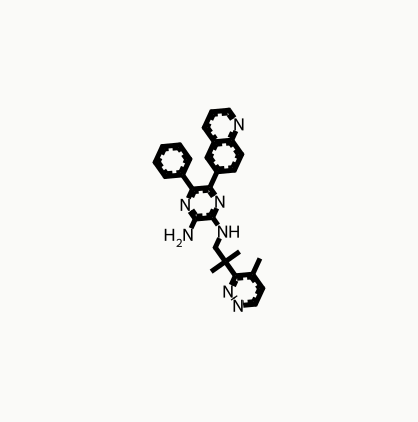 Cc1ccnnc1C(C)(C)CNc1nc(-c2ccc3ncccc3c2)c(-c2ccccc2)nc1N